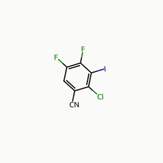 N#Cc1cc(F)c(F)c(I)c1Cl